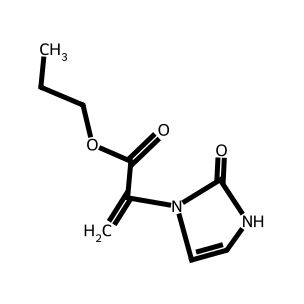 C=C(C(=O)OCCC)n1cc[nH]c1=O